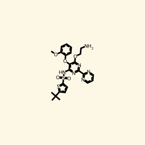 COc1ccccc1Oc1c(NS(=O)(=O)c2ccc(C(C)(C)C)s2)nc(-c2ncccn2)nc1OCCN